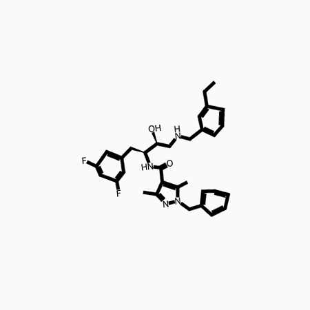 CCc1cccc(CNC[C@H](O)[C@H](Cc2cc(F)cc(F)c2)NC(=O)c2c(C)nn(Cc3ccccc3)c2C)c1